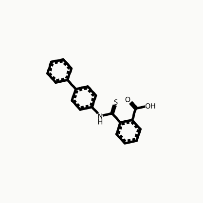 O=C(O)c1ccccc1C(=S)Nc1ccc(-c2ccccc2)cc1